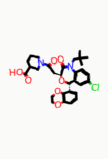 CC(C)(C)CN1C(=O)[C@H](CC(=O)N2CCCC(C(=O)O)C2)O[C@@H](c2cccc3c2OCCO3)c2cc(Cl)ccc21